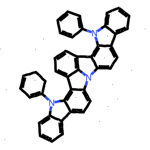 C1=CCCC(n2c3ccccc3c3ccc4c(c5cccc6c7c8c(ccc7n4c56)c4ccccc4n8-c4ccccc4)c32)=C1